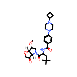 CO[C@@H]1CN(C(=O)C(CC(C)(C)C)NC(=O)c2ccc(N3CCN(C4CCC4)CC3)cc2)[C@@H]2C(=O)CO[C@@H]21